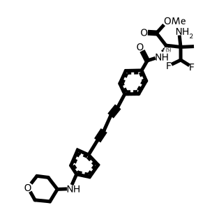 COC(=O)[C@@H](NC(=O)c1ccc(C#CC#Cc2ccc(NC3CCOCC3)cc2)cc1)C(C)(N)C(F)F